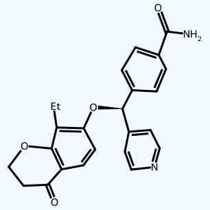 CCc1c(O[C@H](c2ccncc2)c2ccc(C(N)=O)cc2)ccc2c1OCCC2=O